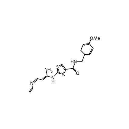 C=C/N=C\C=C(/N)Nc1nc(C(=O)NCC2C=CC(OC)=CC2)cs1